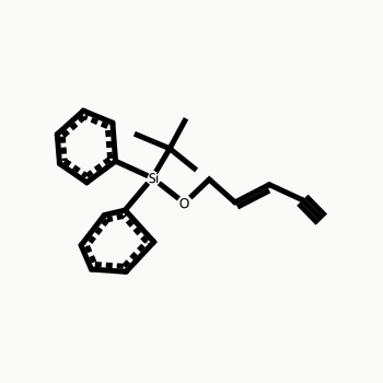 C#C/C=C/CO[Si](c1ccccc1)(c1ccccc1)C(C)(C)C